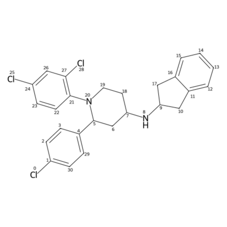 Clc1ccc(C2CC(NC3Cc4ccccc4C3)CCN2c2ccc(Cl)cc2Cl)cc1